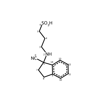 N#CC1(NCCCS(=O)(=O)O)CCc2ccccc21